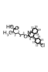 CC(CCCCOc1cc(-c2ccc(Cl)cc2)c2ccccc2n1)C(=O)O